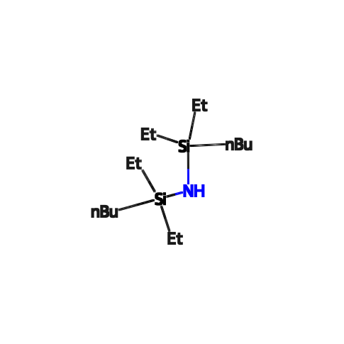 CCCC[Si](CC)(CC)N[Si](CC)(CC)CCCC